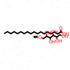 C=C.CCCCCCCCCCCCCCCCCC(=O)O.OCC(O)C(O)C(O)C(O)CO